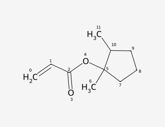 C=CC(=O)OC1(C)CCCC1C